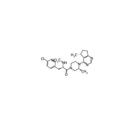 C[C@@H]1CCc2ncnc(N3CCN(C(=O)[C@@H](Cc4ccc(Cl)cc4)NC(=O)O)C[C@@H]3C)c21